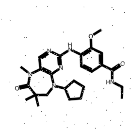 CCNC(=O)c1ccc(Nc2ncc3c(n2)N(C2CCCC2)CC(C)(C)C(=O)N3C)c(OC)c1